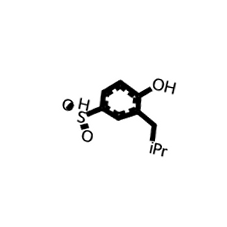 CC(C)Cc1cc([SH](=O)=O)ccc1O